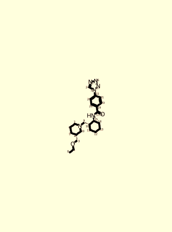 CCOC[C@@H]1CCCN(C[C@H]2CCCC[C@@H]2NC(=O)c2ccc(-n3cnnn3)cc2)C1